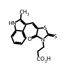 Cc1[nH]c2ccccc2c1C=C1SC(=S)N(CCC(=O)O)C1=O